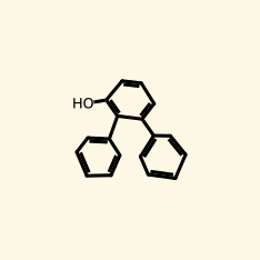 Oc1cccc(-c2ccccc2)c1-c1ccccc1